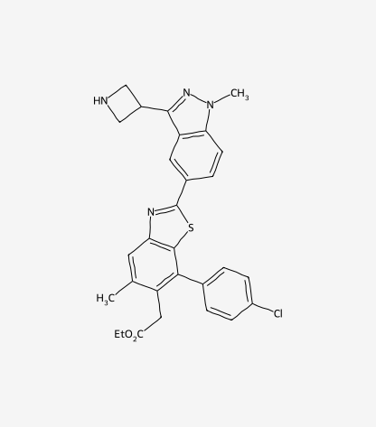 CCOC(=O)Cc1c(C)cc2nc(-c3ccc4c(c3)c(C3CNC3)nn4C)sc2c1-c1ccc(Cl)cc1